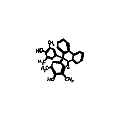 Cc1cc(C2(c3cc(C)c(O)c(C)c3)C(=O)c3ccccc3-c3ccccc32)cc(C)c1O